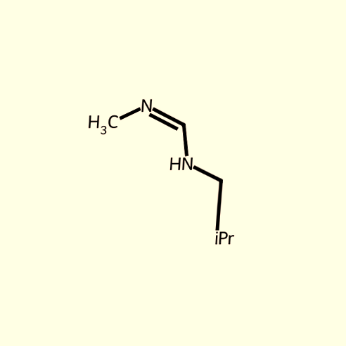 C/N=C\NCC(C)C